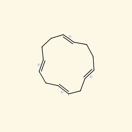 [C]1=C/C/C=C/CC/C=C/CC/C=C/C/1